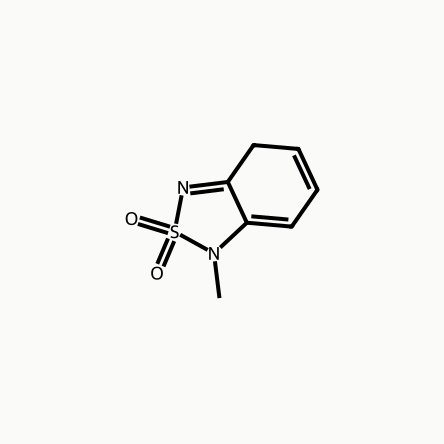 CN1C2=CC=CCC2=NS1(=O)=O